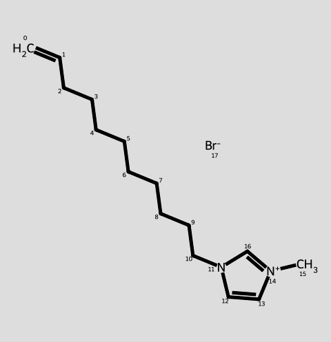 C=CCCCCCCCCCn1cc[n+](C)c1.[Br-]